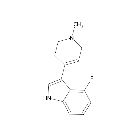 CN1CC=C(c2c[nH]c3cccc(F)c23)CC1